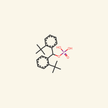 CC(C)(C)c1ccccc1C(OP(=O)(O)O)c1ccccc1C(C)(C)C